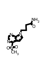 CS(=O)(=O)c1ncnc2c1ccn2CCCC(N)=O